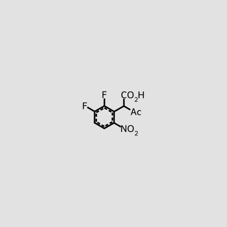 CC(=O)C(C(=O)O)c1c([N+](=O)[O-])ccc(F)c1F